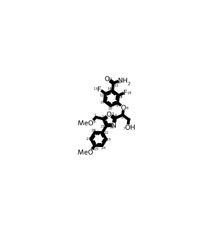 COCc1oc(C(CO)Oc2ccc(F)c(C(N)=O)c2F)nc1-c1ccc(OC)cc1